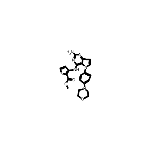 COC(=O)c1sccc1Nc1nc(N)nc2ccn(-c3ccc(N4CCOCC4)cc3)c12